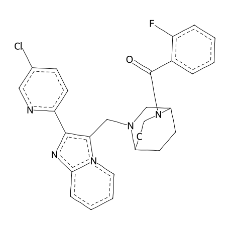 O=C(c1ccccc1F)N1CCC2CCC1CN2Cc1c(-c2ccc(Cl)cn2)nc2ccccn12